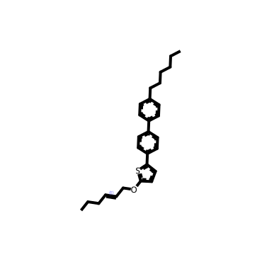 CCC/C=C/COc1ccc(-c2ccc(-c3ccc(CCCCCC)cc3)cc2)s1